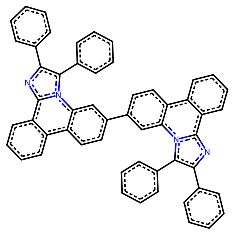 c1ccc(-c2nc3c4ccccc4c4ccc(-c5ccc6c7ccccc7c7nc(-c8ccccc8)c(-c8ccccc8)n7c6c5)cc4n3c2-c2ccccc2)cc1